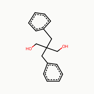 OCC(CO)(Cc1ccccc1)Cc1ccccc1